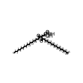 CCCCCCCCCCCCCCCCCC(=O)N(CCOP(=O)(O)O)C(=O)CCCCCCCCCCCCCCCCC